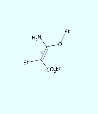 CCOC(=O)/C(CC)=C(/N)OCC